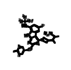 [2H]C([2H])([2H])Nc1cc(F)cc2c1[nH]c1nc(Oc3cnc(C)nc3)nc(N3CC(=C(C)C(C)N)C3)c12